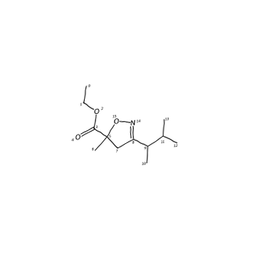 CCOC(=O)C1(C)CC(C(C)C(C)C)=NO1